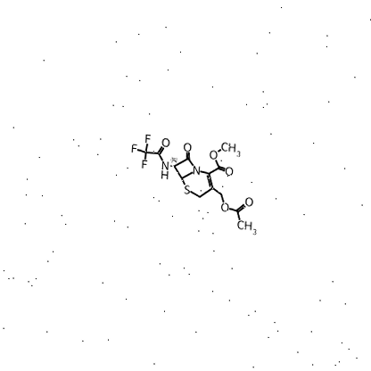 COC(=O)C1=C(COC(C)=O)CSC2[C@H](NC(=O)C(F)(F)F)C(=O)N12